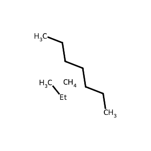 C.CCC.CCCCCCC